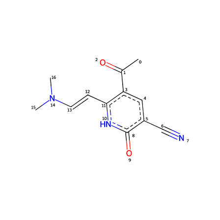 CC(=O)c1cc(C#N)c(=O)[nH]c1C=CN(C)C